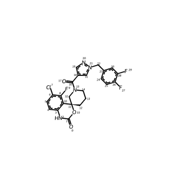 O=C1Nc2ccc(Cl)c(F)c2[C@@]2(CCCN(C(=O)c3cnn(Cc4ccc(F)c(F)c4)c3)C2)O1